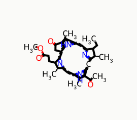 CCC1c2cc3[nH]c4c(c5nc(cc6[nH]c(cc(n2)[C@@H]1C)c(C(C)=O)c6C)[C@@H](C)C5CCC(=O)OC)CC(=O)c4c3C